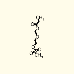 CCC(=O)OCOCCOS(C)(=O)=O